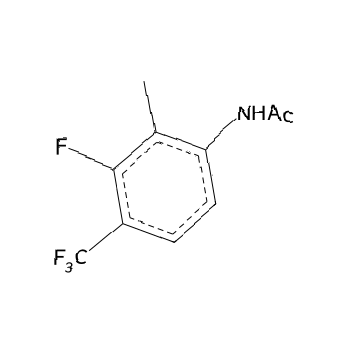 CC(=O)Nc1ccc(C(F)(F)F)c(F)c1C